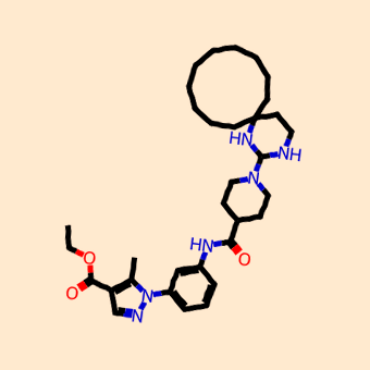 CCOC(=O)c1cnn(-c2cccc(NC(=O)C3CCN(C4NCCC5(CCCCCCCCCC5)N4)CC3)c2)c1C